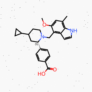 COc1cc(C)c2[nH]ccc2c1CN1CCC(C2CC2)C[C@H]1c1ccc(C(=O)O)cc1